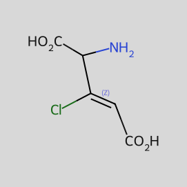 NC(C(=O)O)/C(Cl)=C/C(=O)O